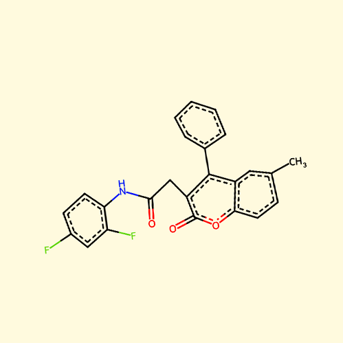 Cc1ccc2oc(=O)c(CC(=O)Nc3ccc(F)cc3F)c(-c3ccccc3)c2c1